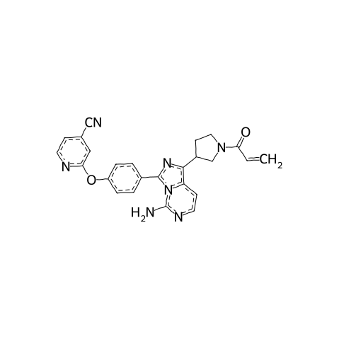 C=CC(=O)N1CCC(c2nc(-c3ccc(Oc4cc(C#N)ccn4)cc3)n3c(N)nccc23)C1